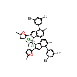 CCc1cc(CC)cc(-c2c(C)ccc3c2C=C(c2ccc(C)o2)[CH]3[Zr]([Cl])([Cl])([CH]2C(c3ccc(C)o3)=Cc3c2ccc(C)c3-c2cc(CC)cc(CC)c2)=[Si](C)C)c1